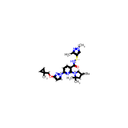 Cc1nn(C)cc1SNC(=O)c1ccc(-n2ccc(OCC3(C(F)(F)F)CC3)n2)nc1N1CC(C(C)(C)C)CC1(C)C